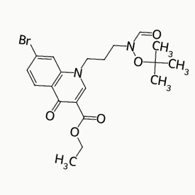 CCOC(=O)c1cn(CCCN(C=O)OC(C)(C)C)c2cc(Br)ccc2c1=O